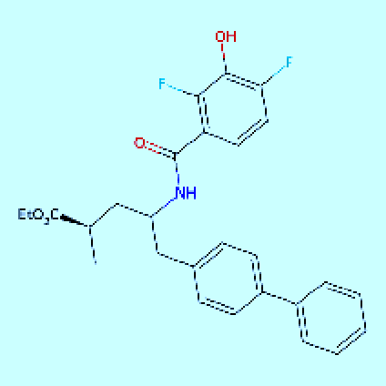 CCOC(=O)[C@H](C)CC(Cc1ccc(-c2ccccc2)cc1)NC(=O)c1ccc(F)c(O)c1F